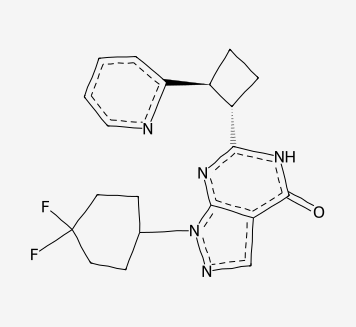 O=c1[nH]c([C@H]2CC[C@@H]2c2ccccn2)nc2c1cnn2C1CCC(F)(F)CC1